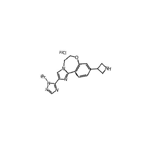 CC(C)n1ncnc1-c1cn2c(n1)-c1ccc(C3CNC3)cc1OCC2.Cl